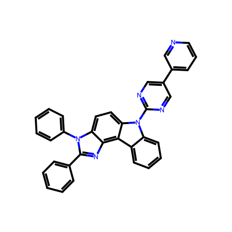 c1ccc(-c2nc3c4c5ccccc5n(-c5ncc(-c6cccnc6)cn5)c4ccc3n2-c2ccccc2)cc1